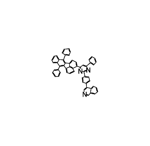 c1ccc(-c2cc(-c3ccc4c5c(cccc35)-c3c-4c(-c4ccccc4)c4ccccc4c3-c3ccccc3)nc(-c3ccc(-c4cncc5ccccc45)cc3)n2)cc1